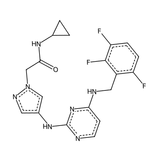 O=C(Cn1cc(Nc2nccc(NCc3c(F)ccc(F)c3F)n2)cn1)NC1CC1